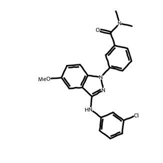 COc1ccc2c(c1)c(Nc1cccc(Cl)c1)nn2-c1cccc(C(=O)N(C)C)c1